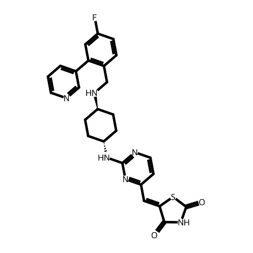 O=C1NC(=O)/C(=C/c2ccnc(N[C@H]3CC[C@H](NCc4ccc(F)cc4-c4cccnc4)CC3)n2)S1